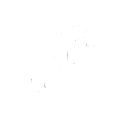 Cn1cc(-c2cccc(NS(=O)(=O)c3ccc(Br)cc3)c2F)c2c(N)ncnc21